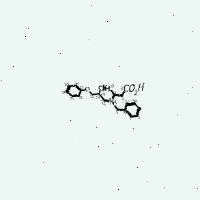 CCC(CC(=O)O)N(Cc1ccccc1)C[C@H](O)COc1ccccc1